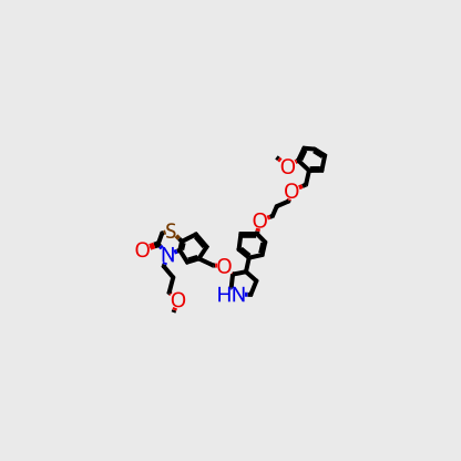 COCCCN1C(=O)CSc2ccc(COC3CNCCC3c3ccc(OCCCOCc4ccccc4OC)cc3)cc21